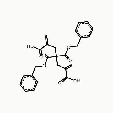 C=C(CC(CC(=C)C(=O)O)(C(=O)OCc1ccccc1)C(=O)OCc1ccccc1)C(=O)O